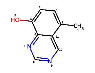 Cc1ccc(O)c2ncncc12